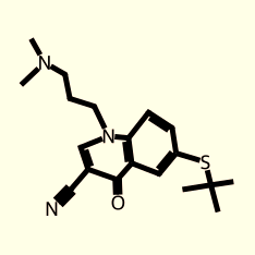 CN(C)CCCn1cc(C#N)c(=O)c2cc(SC(C)(C)C)ccc21